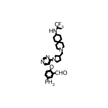 CC(NC1CCC2(CC1)CCN(CC1CCN(c3ncncc3Oc3ccc(P)cc3C=O)C1)CC2)C(F)(F)F